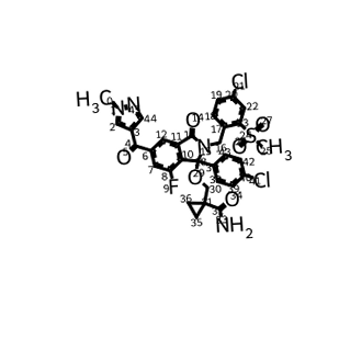 Cn1cc(C(=O)c2cc(F)c3c(c2)C(=O)N(Cc2ccc(Cl)cc2S(C)(=O)=O)C3(OCC2(C(N)=O)CC2)c2ccc(Cl)cc2)cn1